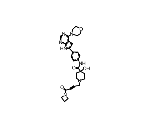 O=C(C#CCN1CCC(O)(C(=O)Nc2ccc(-c3cc4c(N5CCOCC5)ncnc4[nH]3)cc2)CC1)N1CCC1